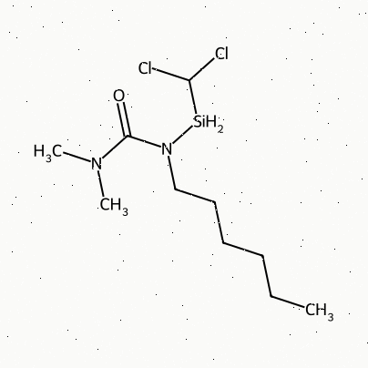 CCCCCCN([SiH2]C(Cl)Cl)C(=O)N(C)C